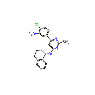 Cc1nc(N[C@@H]2CCCc3ccccc32)cc(-c2ccc(Cl)c(N)c2)n1